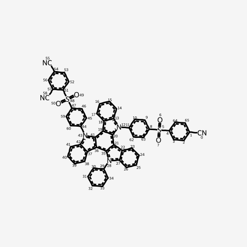 N#Cc1ccc(S(=O)(=O)c2ccc(-n3c4ccccc4c4c3c3c5ccccc5n(-c5ccccc5)c3c3c5ccccc5n(-c5ccc(S(=O)(=O)c6ccc(C#N)cc6C#N)cc5)c34)cc2)cc1